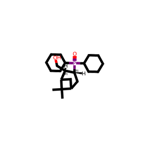 CC1(C)C2CC1[C@H](CO)[C@H](P(=O)(C1CCCCC1)C1CCCCC1)C2